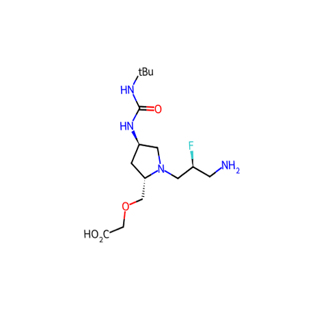 CC(C)(C)NC(=O)N[C@@H]1C[C@@H](COCC(=O)O)N(C[C@@H](F)CN)C1